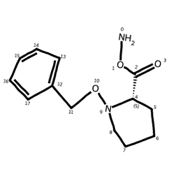 NOC(=O)[C@@H]1CCCCN1OCc1ccccc1